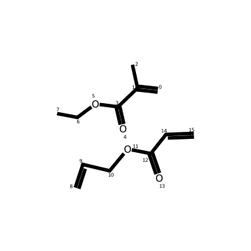 C=C(C)C(=O)OCC.C=CCOC(=O)C=C